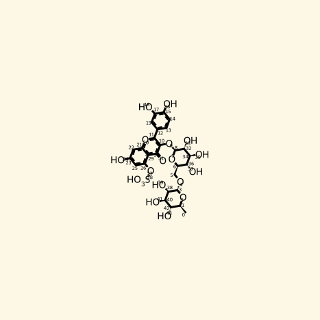 C[C@@H]1O[C@@H](OC[C@H]2O[C@@H](Oc3c(-c4ccc(O)c(O)c4)oc4cc(O)cc(OS(=O)(=O)O)c4c3=O)[C@H](O)[C@@H](O)[C@@H]2O)[C@H](O)[C@H](O)[C@H]1O